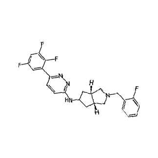 Fc1cc(F)c(F)c(-c2ccc(NC3C[C@@H]4CN(Cc5ccccc5F)C[C@@H]4C3)nn2)c1